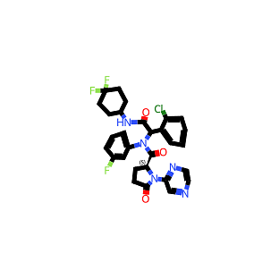 O=C(NC1CCC(F)(F)CC1)C(c1ccccc1Cl)N(C(=O)[C@@H]1CCC(=O)N1c1cnccn1)c1cccc(F)c1